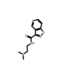 CN(C)CCNC(=O)c1noc2ccncc12